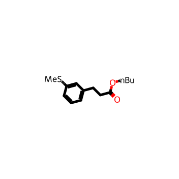 CCCCOC(=O)CCc1cccc(SC)c1